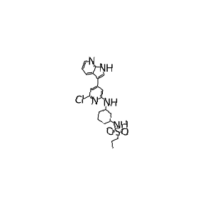 CCCS(=O)(=O)NC1CCCC(Nc2cc(-c3c[nH]c4ncccc34)cc(Cl)n2)C1